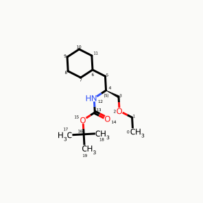 CCOC[C@H](CC1CCCCC1)NC(=O)OC(C)(C)C